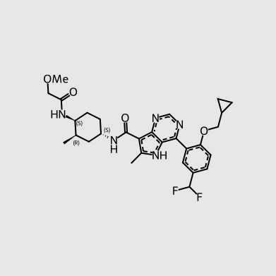 COCC(=O)N[C@H]1CC[C@H](NC(=O)c2c(C)[nH]c3c(-c4cc(C(F)F)ccc4OCC4CC4)ncnc23)C[C@H]1C